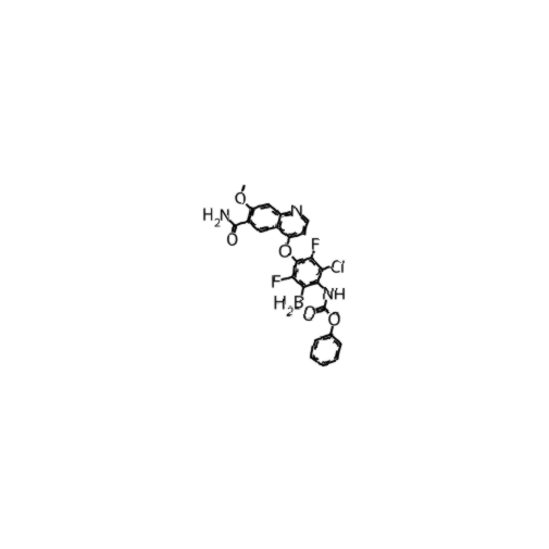 Bc1c(F)c(Oc2ccnc3cc(OC)c(C(N)=O)cc23)c(F)c(Cl)c1NC(=O)Oc1ccccc1